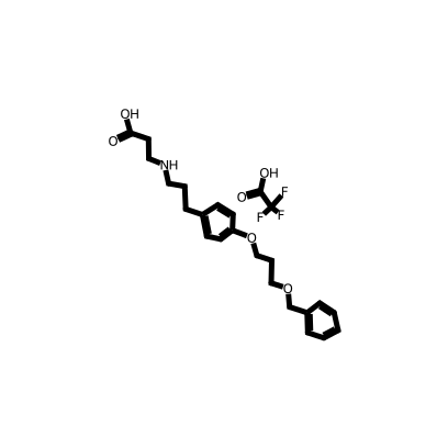 O=C(O)C(F)(F)F.O=C(O)CCNCCCc1ccc(OCCCOCc2ccccc2)cc1